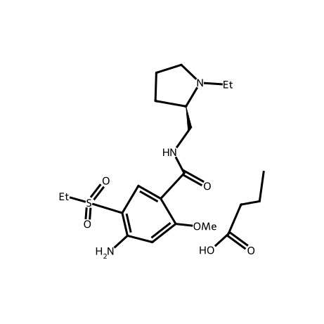 CCCC(=O)O.CCN1CCC[C@@H]1CNC(=O)c1cc(S(=O)(=O)CC)c(N)cc1OC